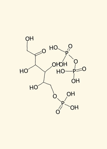 O=C(CO)C(O)C(O)C(O)COP(=O)(O)O.O=P(O)(O)OP(=O)(O)O